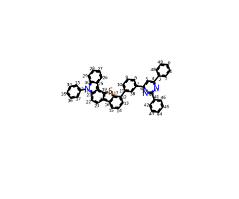 c1ccc(-c2cc(-c3cccc(-c4cccc5c4sc4c5ccc5c4c4ccccc4n5-c4ccccc4)c3)nc(-c3ccccc3)n2)cc1